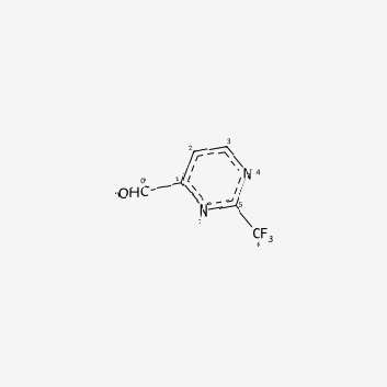 O=[C]c1ccnc(C(F)(F)F)n1